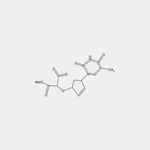 COC(=O)C(OC1C=CC(n2cc(C)c(=O)[nH]c2=O)C1)P(=O)=O